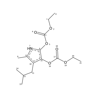 CCOC(=O)Oc1[nH]c(C)c(CC(C)C)c1OC(=O)OCC